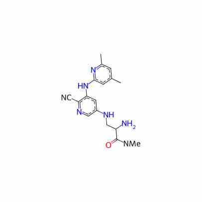 CNC(=O)C(N)CNc1cnc(C#N)c(Nc2cc(C)cc(C)n2)c1